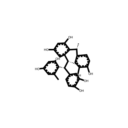 Cc1cc(O)cc(O)c1[C@@H](c1ccc(O)c(O)c1)[C@@H](C)c1cc(O)cc(O)c1[C@H](C)c1ccc(O)c(O)c1